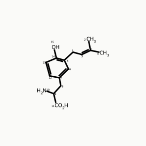 CC(C)=CCc1cc(CC(N)C(=O)O)ccc1O